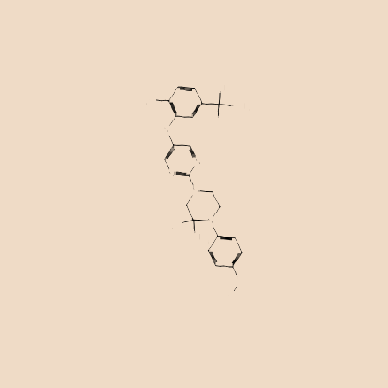 COc1ccc(N2CCN(c3ncc(Nc4cc(C(C)(C)C)ccc4C)cn3)CC2(C)C)cc1